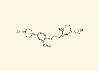 COc1cc(N2CCN(C(C)=O)CC2)ccc1OCC[C@@H]1CN(C(=O)O)CCN1